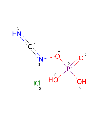 Cl.N=C=NOP(=O)(O)O